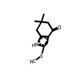 CC1(C)CC(=O)c2cc(SC#N)[nH]c2C1